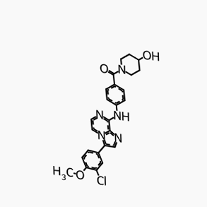 COc1ccc(-c2cnc3c(Nc4ccc(C(=O)N5CCC(O)CC5)cc4)nccn23)cc1Cl